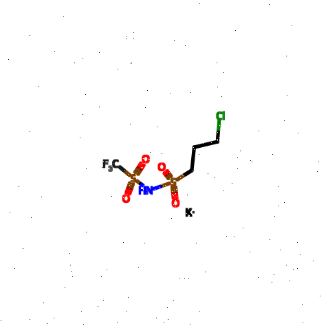 O=S(=O)(CCCCl)NS(=O)(=O)C(F)(F)F.[K]